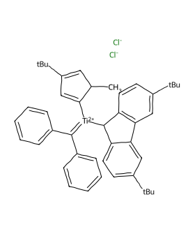 CC1C=C(C(C)(C)C)C=[C]1[Ti+2](=[C](c1ccccc1)c1ccccc1)[CH]1c2ccc(C(C)(C)C)cc2-c2cc(C(C)(C)C)ccc21.[Cl-].[Cl-]